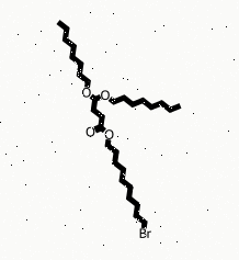 CCCCCCCCOC(CCC(=O)OCCCCCCCCCCBr)OCCCCCCCC